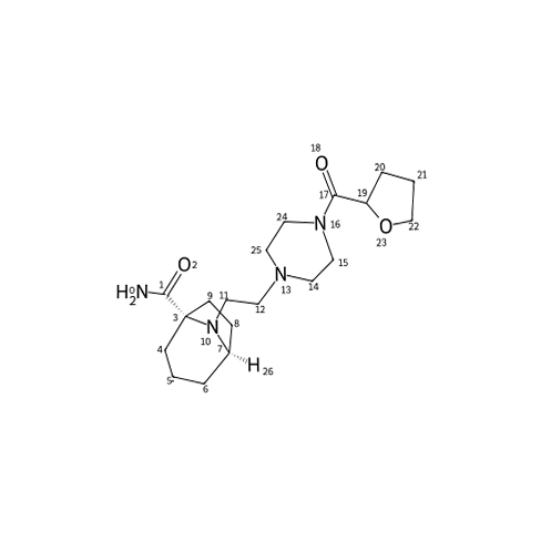 NC(=O)[C@]12C[CH]C[C@H](CC1)N2CCN1CCN(C(=O)C2CCCO2)CC1